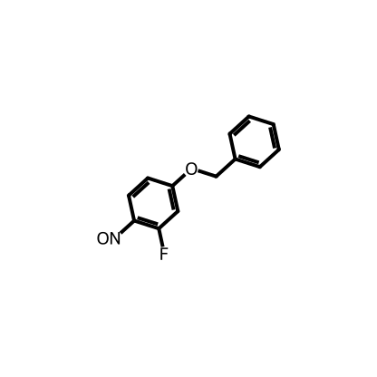 O=Nc1ccc(OCc2ccccc2)cc1F